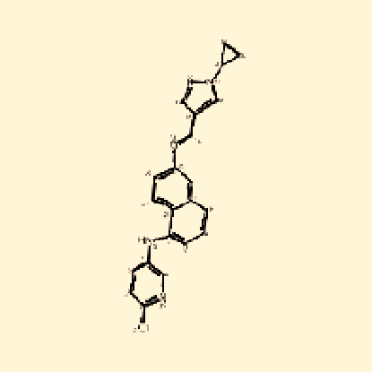 Clc1ccc(Nc2nccc3cc(OCc4cnn(C5CC5)c4)ccc23)cn1